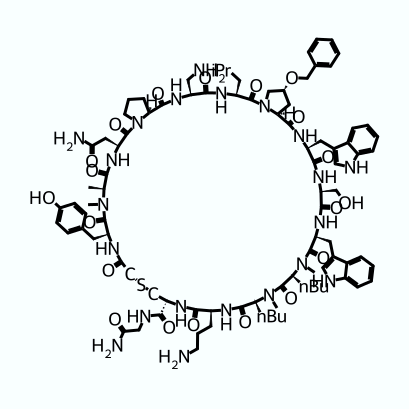 CCCC[C@H]1C(=O)N(C)[C@@H](CCCC)C(=O)N[C@@H](CCCN)C(=O)N[C@H](C(=O)NCC(N)=O)CSCC(=O)N[C@@H](Cc2ccc(O)cc2)C(=O)N(C)[C@@H](C)C(=O)N[C@@H](CC(N)=O)C(=O)N2CCC[C@H]2C(=O)N[C@@H](CN)C(=O)N[C@@H](CC(C)C)C(=O)N2C[C@H](OCc3ccccc3)C[C@H]2C(=O)N[C@@H](Cc2c[nH]c3ccccc23)C(=O)N[C@@H](CO)C(=O)N[C@@H](Cc2c[nH]c3ccccc23)C(=O)N1C